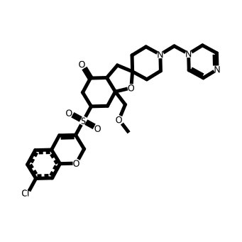 COCC12CC(S(=O)(=O)C3=Cc4ccc(Cl)cc4OC3)CC(=O)C1CC1(CCN(CN3C=CN=CC3)CC1)O2